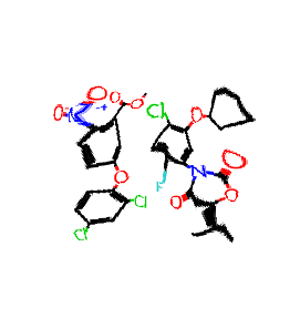 CC(C)=C1OC(=O)N(c2cc(OC3CCCC3)c(Cl)cc2F)C1=O.COC(=O)c1cc(Oc2ccc(Cl)cc2Cl)ccc1[N+](=O)[O-]